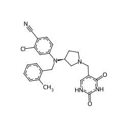 Cc1ccccc1CN(c1ccc(C#N)c(Cl)c1)[C@H]1CCN(Cc2c[nH]c(=O)[nH]c2=O)C1